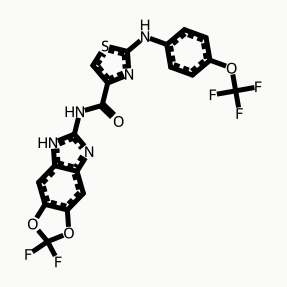 O=C(Nc1nc2cc3c(cc2[nH]1)OC(F)(F)O3)c1csc(Nc2ccc(OC(F)(F)F)cc2)n1